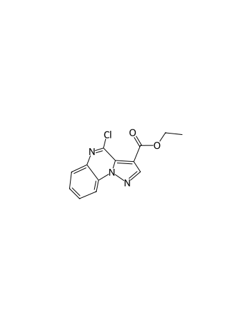 CCOC(=O)c1cnn2c1c(Cl)nc1ccccc12